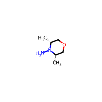 C[C@@H]1COC[C@H](C)N1N